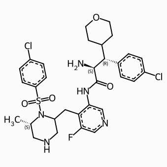 C[C@H]1CNCC(Cc2c(F)cncc2NC(=O)[C@@H](N)[C@@H](c2ccc(Cl)cc2)C2CCOCC2)N1S(=O)(=O)c1ccc(Cl)cc1